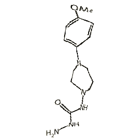 COc1ccc(N2CCN(NC(=O)NN)CC2)cc1